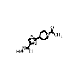 CC(=O)N1CCC(c2nc(C(Cl)=NO)cs2)CC1